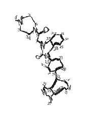 CN1CCN(C(=O)Cn2c(=O)n(-c3ccc(-c4cncc5c4cnn5C)cc3)c3ccccc32)CC1